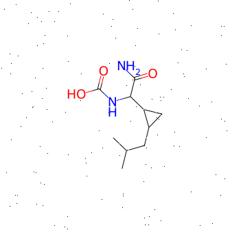 CC(C)CC1CC1C(NC(=O)O)C(N)=O